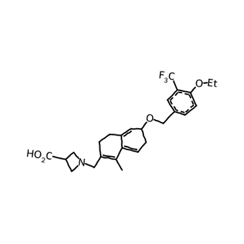 CCOc1ccc(COC2C=C3CCC(CN4CC(C(=O)O)C4)=C(C)C3=CC2)cc1C(F)(F)F